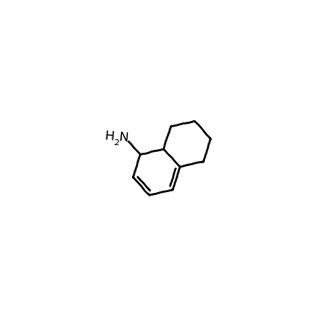 NC1C=CC=C2CCCCC21